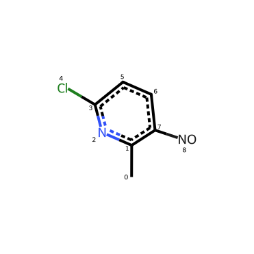 Cc1nc(Cl)ccc1N=O